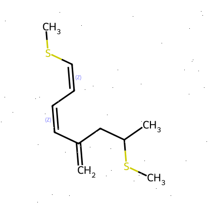 C=C(/C=C\C=C/SC)CC(C)SC